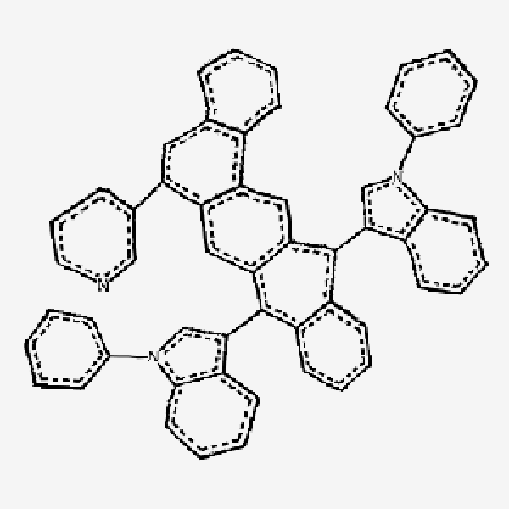 c1ccc(-n2cc(-c3c4ccccc4c(-c4cn(-c5ccccc5)c5ccccc45)c4cc5c(cc34)c(-c3cccnc3)cc3ccccc35)c3ccccc32)cc1